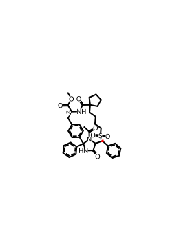 COC(=O)[C@H](Cc1ccc(C2(c3ccccc3)NC(=O)C(Cc3ccccc3)N2C(C)=O)cc1)NC(=O)C1(CCCCS(C)(=O)=O)CCCC1